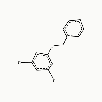 Clc1cc(Cl)cc(OCc2ccccc2)c1